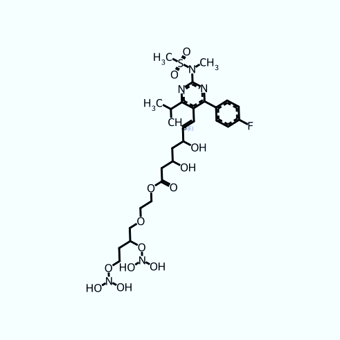 CC(C)c1nc(N(C)S(C)(=O)=O)nc(-c2ccc(F)cc2)c1/C=C/C(O)CC(O)CC(=O)OCCOCC(CCON(O)O)ON(O)O